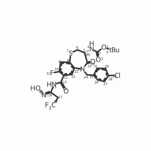 CC(C)(C)OC(=O)N[C@H]1CSc2cc(F)c(C(=O)N/C(CC(F)(F)F)=N\O)cc2N(Cc2ccc(Cl)cc2)C1=O